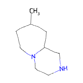 CC1CCN2CCNCC2C1